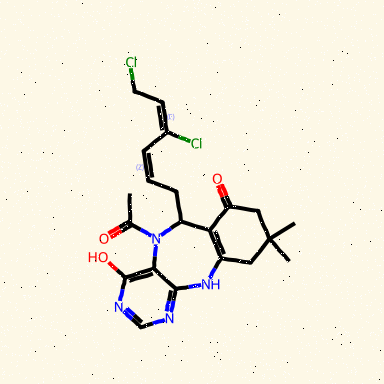 CC(=O)N1c2c(O)ncnc2NC2=C(C(=O)CC(C)(C)C2)C1C/C=C\C(Cl)=C/CCl